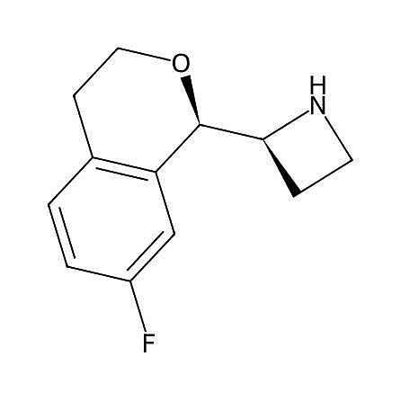 Fc1ccc2c(c1)[C@H]([C@@H]1CCN1)OCC2